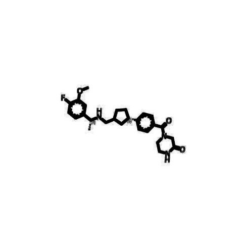 COc1cc([C@@H](C)NCC2CC[C@H](c3ccc(C(=O)N4CCNC(=O)C4)cc3)C2)ccc1F